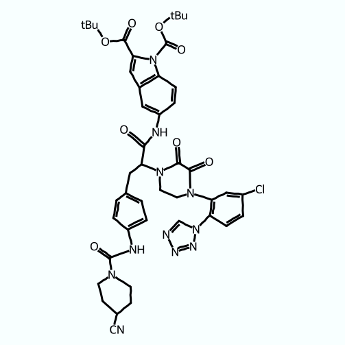 CC(C)(C)OC(=O)c1cc2cc(NC(=O)C(Cc3ccc(NC(=O)N4CCC(C#N)CC4)cc3)N3CCN(c4cc(Cl)ccc4-n4cnnn4)C(=O)C3=O)ccc2n1C(=O)OC(C)(C)C